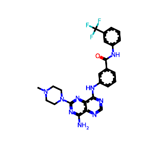 CN1CCN(c2nc(N)c3ncnc(Nc4cccc(C(=O)Nc5cccc(C(F)(F)F)c5)c4)c3n2)CC1